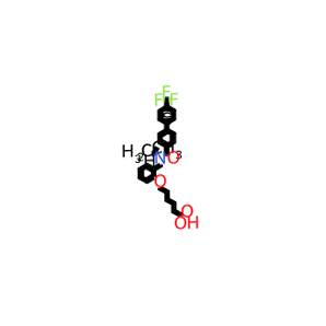 [2H]C(C)(C)N(Cc1ccccc1OCCCCCC(=O)O)C(=O)c1ccc(C23CCC(C(F)(F)F)(CC2)CC3)cc1